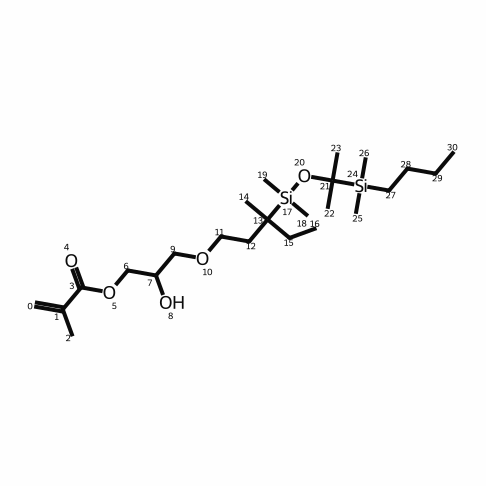 C=C(C)C(=O)OCC(O)COCCC(C)(CC)[Si](C)(C)OC(C)(C)[Si](C)(C)CCCC